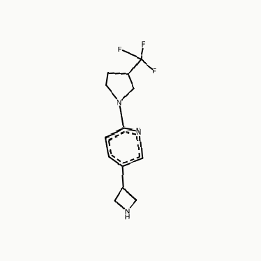 FC(F)(F)C1CCN(c2ccc(C3CNC3)cn2)C1